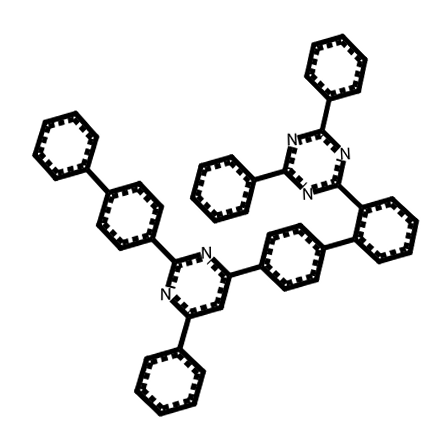 c1ccc(-c2ccc(-c3nc(-c4ccccc4)cc(-c4ccc(-c5ccccc5-c5nc(-c6ccccc6)nc(-c6ccccc6)n5)cc4)n3)cc2)cc1